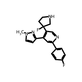 Cn1ccc(-c2cc(-c3ccc(F)cc3)ncc2C2(F)CCNC2)n1